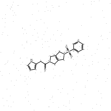 O=C(Cc1ccc[nH]1)N1CC2=C(C1)CN(S(=O)(=O)c1cccnc1)C2